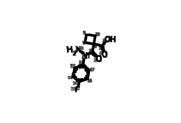 NN(C(=O)C1(C(=O)O)CCC1)c1ccc(F)cc1